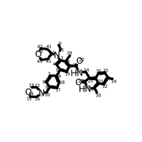 CCN(c1cc(-c2ccc(CN3CCOCC3)cc2)cc(C(=O)NCc2c(=O)[nH]c(C)c3cc(C)ccc23)c1C)C1CCOCC1